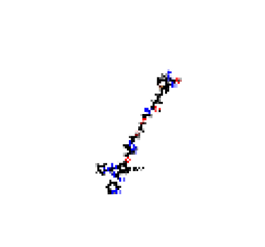 COc1cc2c(NC3CCCNC3)nc(N3CCCC3)nc2cc1OCc1cn(CCOCCOCCNC(=O)CCCC[C@@H]2SC[C@@H]3NC(=O)N[C@@H]32)nn1